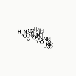 C=C(C)[C@@H](CN(C(C)C)S(C)(=O)=O)NC(=O)N[C@H](C(=O)N1C[C@H]2[C@@H]([C@H]1C(=O)NC(C(=O)C(N)=O)C1CCC1)C2(C)C)C(C)(C)C